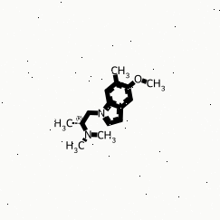 COc1cc2ccn(C[C@@H](C)N(C)C)c2cc1C